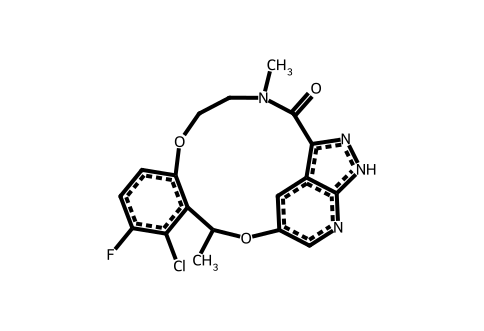 CC1Oc2cnc3[nH]nc(c3c2)C(=O)N(C)CCOc2ccc(F)c(Cl)c21